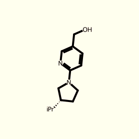 CC(C)[C@H]1CCN(c2ccc(CO)cn2)C1